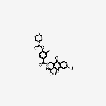 Cc1cc(C(=O)N2Cc3c([nH]c4cc(Cl)ccc4c3=O)C(O)=N2)ccc1OC(=O)N1CCOCC1